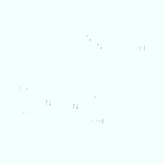 C[C@H]1CN(C(=O)O)c2cc(-c3cnn(CCO)c3)ccc2N1C(=O)O